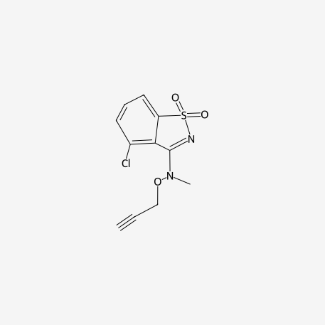 C#CCON(C)C1=NS(=O)(=O)c2cccc(Cl)c21